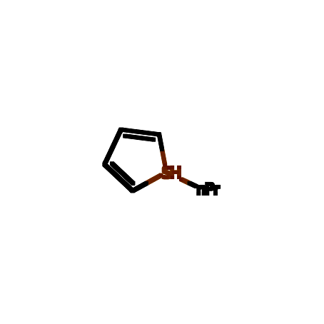 [CH2]CC[SH]1C=CC=C1